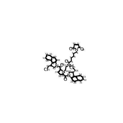 O=C(CCCCCN1C(=O)C=CC1=O)NCCn1c(C(=O)N2C[C@@H](CCl)c3c2ccc2ccccc32)ccc1C(=O)N1C[C@@H](CCl)c2c1ccc1ccccc21